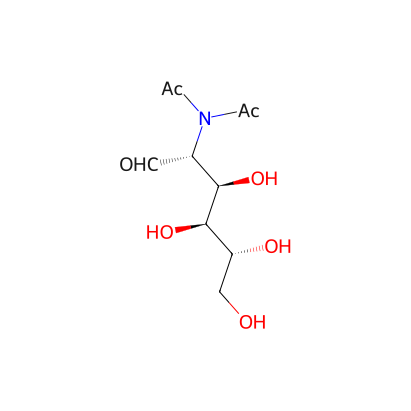 CC(=O)N(C(C)=O)[C@@H](C=O)[C@@H](O)[C@H](O)[C@H](O)CO